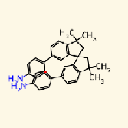 CC1(C)CC2(CC(C)(C)c3ccc(-c4ccc(N)cc4)cc32)c2cc(-c3ccc(N)cc3)ccc21